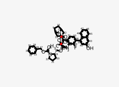 CC(C)(C)OC(=O)N1C2CCC1CN(c1nc(OC[C@@H]3CCCN3C(=O)OCc3ccccc3)nc3c(F)c(-c4cc(O)cc5ccccc45)ccc13)C2